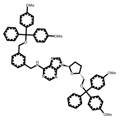 COc1ccc(C(OCc2cccc(CNc3ncnc4c3ncn4[C@H]3C[CH][C@H](COC(c4ccccc4)(c4ccc(OC)cc4)c4ccc(OC)cc4)O3)c2)(c2ccccc2)c2ccc(OC)cc2)cc1